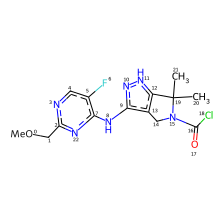 COCc1ncc(F)c(Nc2n[nH]c3c2CN(C(=O)Cl)C3(C)C)n1